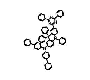 c1ccc(-c2ccc(N(c3ccc(-c4ccccc4)cc3)c3ccc4c(c3)C(c3ccccc3)(c3ccccc3)c3cc(-c5nc(-c6ccccc6)nc(-c6ccccc6)n5)ccc3N4c3ccccc3)cc2)cc1